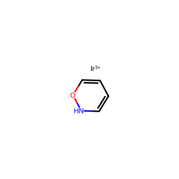 C1=CNOC=C1.[Ir+3]